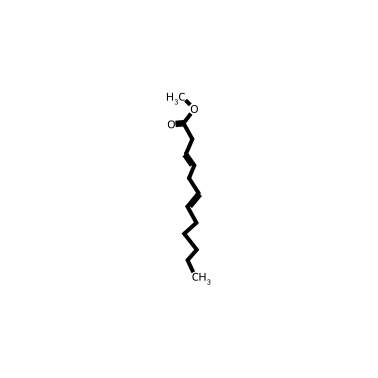 CCCCCC=CCC=CCC(=O)OC